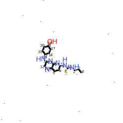 C=CCNC(=S)Nc1ccc2ncc(Nc3ccc(O)cc3)nc2n1